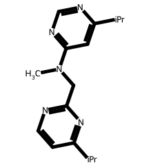 CC(C)c1cc(N(C)Cc2nccc(C(C)C)n2)ncn1